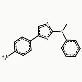 CN(c1ccccc1)c1nc(-c2ccc(N)cc2)cs1